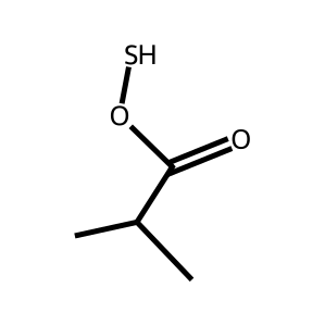 CC(C)C(=O)OS